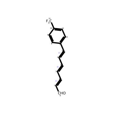 O=C/C=C/C=C/C=C/c1ccc(C(F)(F)F)cc1